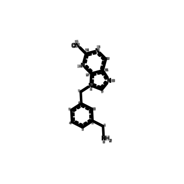 NCc1cccc(Cn2cnc3cnc(N=O)nc32)c1